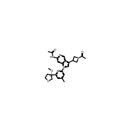 CO[C@@]1(c2cc(C)cc(-n3cc(C4CN(C(C)=O)C4)c4cnc(NC(C)=O)cc43)n2)CCOC1